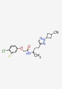 C=C(CCc1cnn(C2CC(C#N)C2)n1)NC(=O)COc1ccc(Cl)c(F)c1